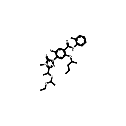 CCCC(C)Oc1cc(-n2nc(C(C)OC(C)OCC)n(C)c2=O)c(F)cc1C(=O)Nc1ccccc1C